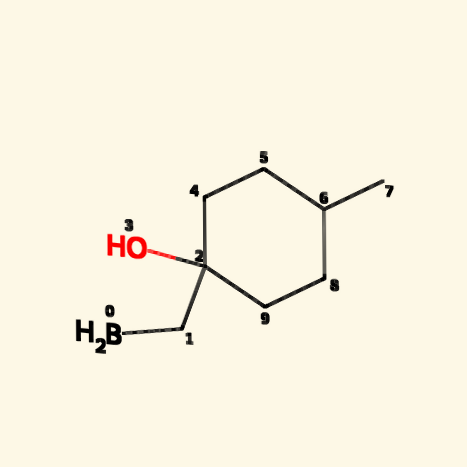 BCC1(O)CCC(C)CC1